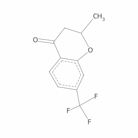 CC1CC(=O)c2ccc(C(F)(F)F)cc2O1